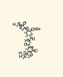 COc1cc(C(=O)NCC(=O)c2cc3c(c(Cl)n2)OCC3(C)C)ccc1OC1CCN(C)C1=O